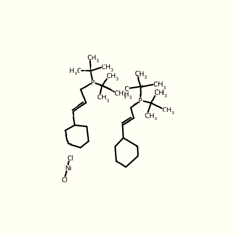 CC(C)(C)P(CC=CC1CCCCC1)C(C)(C)C.CC(C)(C)P(CC=CC1CCCCC1)C(C)(C)C.[Cl][Ni][Cl]